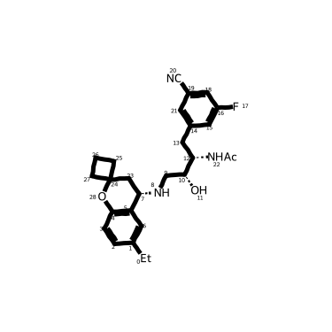 CCc1ccc2c(c1)[C@@H](NC[C@@H](O)[C@H](Cc1cc(F)cc(C#N)c1)NC(C)=O)CC1(CCC1)O2